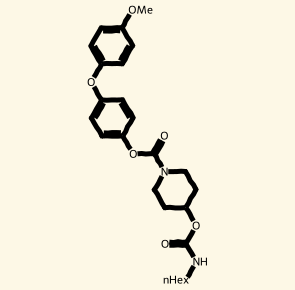 CCCCCCNC(=O)OC1CCN(C(=O)Oc2ccc(Oc3ccc(OC)cc3)cc2)CC1